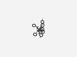 Cc1ccc(OC[C@H]2O[C@H](Oc3ccc(C)cc3)[C@@H](SCc3ccccc3)[C@H]2SCc2ccccc2)cc1